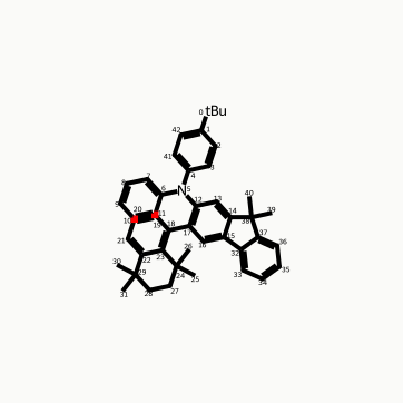 CC(C)(C)c1ccc(N(c2ccccc2)c2cc3c(cc2-c2cccc4c2C(C)(C)CCC4(C)C)-c2ccccc2C3(C)C)cc1